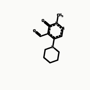 Cn1ncc(N2CCCCC2)c(C=O)c1=O